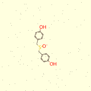 [O-][S+](Cc1ccc(O)cc1)Cc1ccc(O)cc1